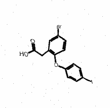 O=C(O)Cc1cc(Br)ccc1Oc1ccc(I)cc1